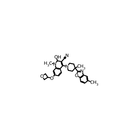 Cc1ccc2oc(C3(C)CCN(C4=C(C#N)C(O)N(C)c5cc(OC6COC6)ccc54)CC3)nc2c1